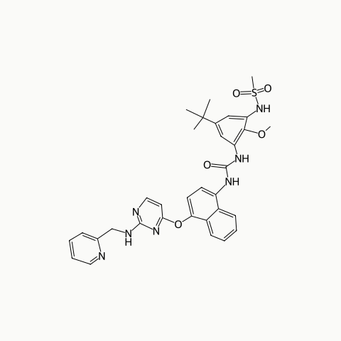 COc1c(NC(=O)Nc2ccc(Oc3ccnc(NCc4ccccn4)n3)c3ccccc23)cc(C(C)(C)C)cc1NS(C)(=O)=O